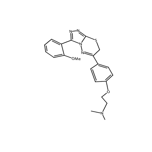 COc1ccccc1-c1nnc2n1N=C(c1ccc(OCCN(C)C)cc1)CS2